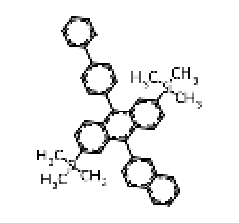 C[Si](C)(C)c1ccc2c(-c3ccc4ccccc4c3)c3cc([Si](C)(C)C)ccc3c(-c3ccc(-c4ccccc4)cc3)c2c1